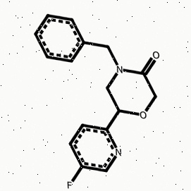 O=C1COC(c2ccc(F)cn2)CN1Cc1ccccc1